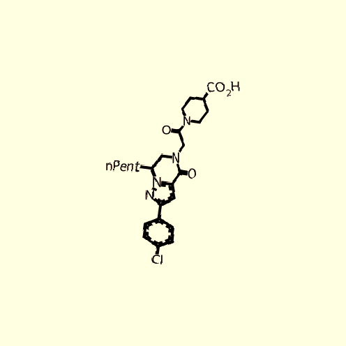 CCCCCC1CN(CC(=O)N2CCC(C(=O)O)CC2)C(=O)c2cc(-c3ccc(Cl)cc3)nn21